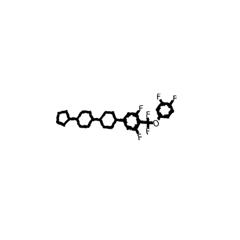 Fc1ccc(OC(F)(F)c2c(F)cc(C3CCC(C4CCC(C5CCCC5)CC4)CC3)cc2F)cc1F